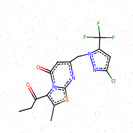 CCC(=O)c1c(C)sc2nc(Cn3nc(Cl)cc3C(F)(F)F)cc(=O)n12